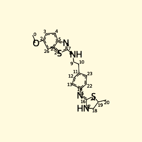 COc1ccc2nc(NCCc3ccc(/N=C4/NCC(C)S4)cc3)sc2c1